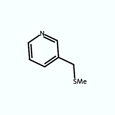 CSCc1cccnc1